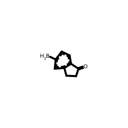 Bc1ccc2c(c1)CCC2=O